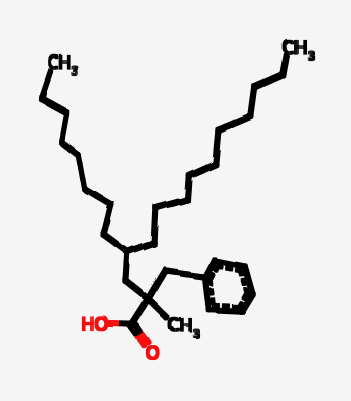 CCCCCCCCCCC(CCCCCCCC)CC(C)(Cc1ccccc1)C(=O)O